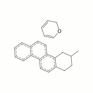 C1=CCOC=C1.CC1CCc2ccc3c(ccc4ccccc43)c2C1